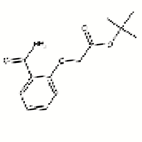 CC(C)(C)OC(=O)COc1ccccc1C(N)=O